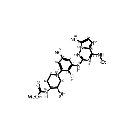 CCNc1nc(Nc2cc(C#N)cc(N3CC[C@H](NC(=O)OC)[C@H](O)C3)c2Cl)nn2c(C#N)cnc12